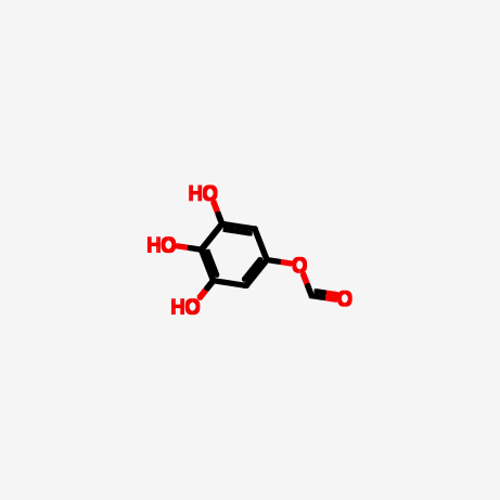 O=COc1cc(O)c(O)c(O)c1